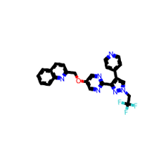 FC(F)(F)Cn1cc(-c2ccncc2)c(-c2ncc(OCc3ccc4ccccc4n3)cn2)n1